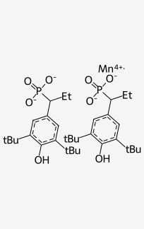 CCC(c1cc(C(C)(C)C)c(O)c(C(C)(C)C)c1)P(=O)([O-])[O-].CCC(c1cc(C(C)(C)C)c(O)c(C(C)(C)C)c1)P(=O)([O-])[O-].[Mn+4]